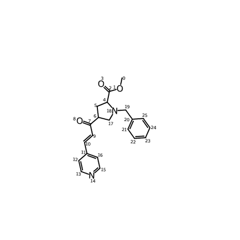 COC(=O)C1CC(C(=O)C=Cc2ccncc2)CN1Cc1ccccc1